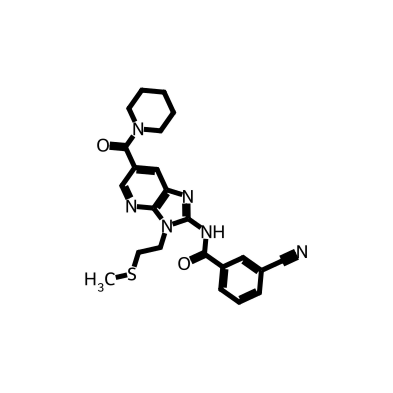 CSCCn1c(NC(=O)c2cccc(C#N)c2)nc2cc(C(=O)N3CCCCC3)cnc21